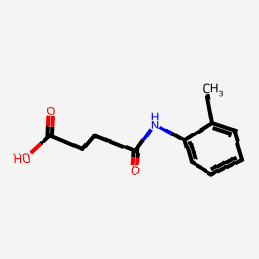 Cc1ccccc1NC(=O)CCC(=O)O